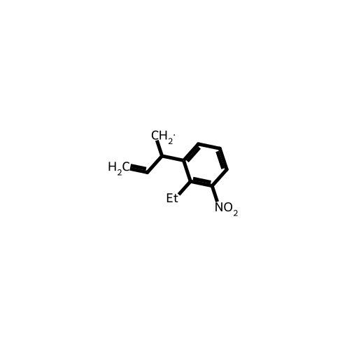 [CH2]C(C=C)c1cccc([N+](=O)[O-])c1CC